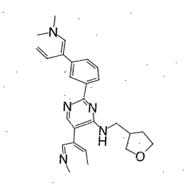 C=C/C(=C\N(C)C)c1cccc(-c2ncc(C(/C=N\C)=C/C)c(NCC3CCOC3)n2)c1